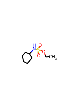 CCOS(=O)(=O)NC1CCCCC1